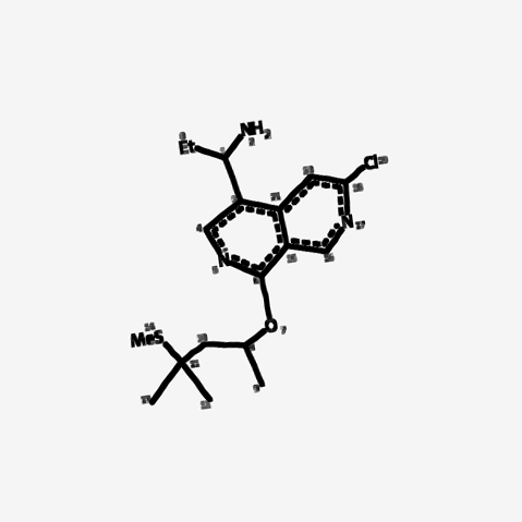 CCC(N)c1cnc(OC(C)CC(C)(C)SC)c2cnc(Cl)cc12